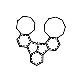 c1cc2c3ccc4c(c3n3c5c6c(ccc5c(c1)c23)CCCCCC6)CCCCCCC4